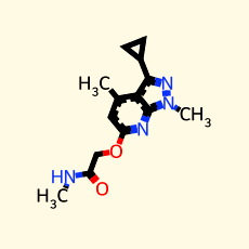 CNC(=O)COc1cc(C)c2c(C3CC3)nn(C)c2n1